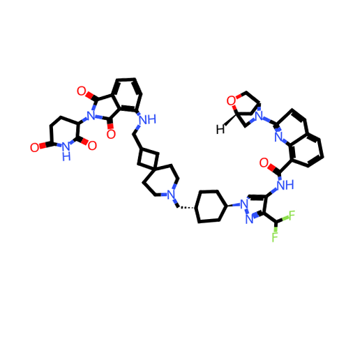 O=C1CCC(N2C(=O)c3cccc(NCC4CC5(CCN(C[C@H]6CC[C@H](n7cc(NC(=O)c8cccc9ccc(N%10C[C@H]%11CC%10CO%11)nc89)c(C(F)F)n7)CC6)CC5)C4)c3C2=O)C(=O)N1